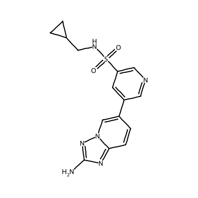 Nc1nc2ccc(-c3cncc(S(=O)(=O)NCC4CC4)c3)cn2n1